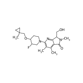 Cc1c(N2CCC(OCC3(C)CC3)C(F)C2)nc2c(c1C)C(=O)N(C)C2CO